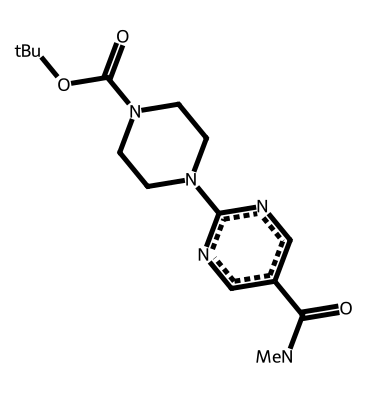 CNC(=O)c1cnc(N2CCN(C(=O)OC(C)(C)C)CC2)nc1